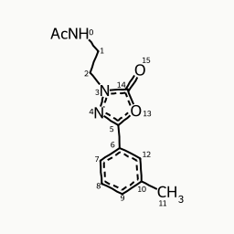 CC(=O)NCCn1nc(-c2cccc(C)c2)oc1=O